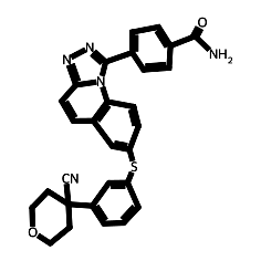 N#CC1(c2cccc(Sc3ccc4c(ccc5nnc(-c6ccc(C(N)=O)cc6)n54)c3)c2)CCOCC1